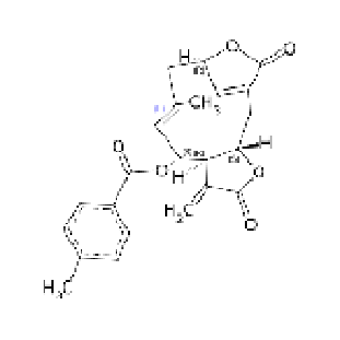 C=C1C(=O)O[C@H]2CC3=C[C@@H](C/C(C)=C/[C@@H](OC(=O)c4ccc(C)cc4)[C@H]12)OC3=O